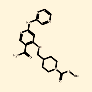 CC(C)(C)OC(=O)N1CCC(CNc2cc(Nc3cnccn3)ncc2C(N)=O)CC1